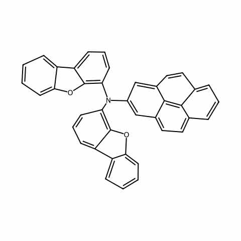 c1cc2ccc3cc(N(c4cccc5c4oc4ccccc45)c4cccc5c4oc4ccccc45)cc4ccc(c1)c2c34